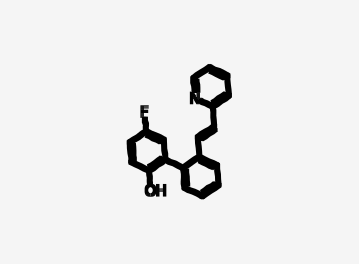 Oc1ccc(F)cc1-c1ccccc1C=Cc1ccccn1